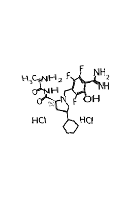 C[C@H](N)C(=O)NC(=O)[C@@H]1CC(C2CCCCC2)CN1Cc1c(F)c(O)c(C(=N)N)c(F)c1F.Cl.Cl